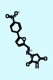 O=C1CN(/N=C/c2ccc(C3C=CC([N+](=O)[O-])=CC3)o2)C(=O)N1